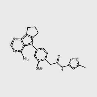 COc1cc(-n2c3c(c4ncnc(N)c42)CCC3)ccc1CC(=O)Nc1cnn(C)c1